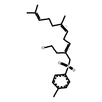 CC(C)=CCC/C(C)=C\C/C=C(\CCCl)CS(=O)(=O)c1ccc(C)cc1